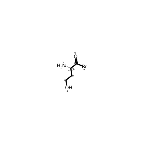 N[C@@H](CCO)C(=O)Br